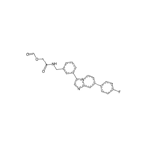 O=COCC(=O)NCc1cccc(-c2cnc3cc(-c4ccc(F)cc4)ccn23)c1